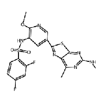 CNc1nc(C)c2nc(-c3cnc(OC)c(NS(=O)(=O)c4ccc(F)cc4F)c3)sc2n1